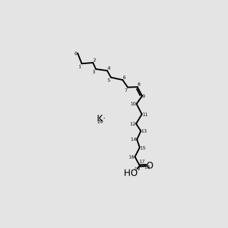 CCCCCCCC/C=C\CCCCCCCC(=O)O.[K]